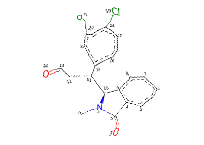 CN1C(=O)c2ccccc2[C@@H]1[C@H](CC=O)c1ccc(Cl)c(Cl)c1